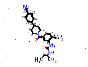 CCC(C)NC(=O)Nc1cc(C(=O)N2CCC(c3ccc(C#N)cc3)CC2)ccc1C